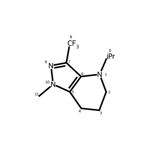 CC(C)N1CCCc2c1c(C(F)(F)F)nn2C